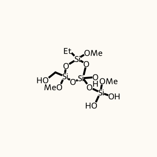 CC[Si]1(OC)O[Si](O)(O[Si](O)(O)OC)O[Si](CO)(OC)O1